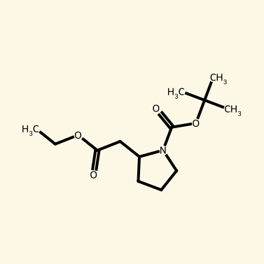 CCOC(=O)CC1CCCN1C(=O)OC(C)(C)C